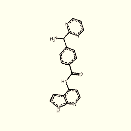 NC(c1ccc(C(=O)Nc2ccnc3[nH]ccc23)cc1)c1ncccn1